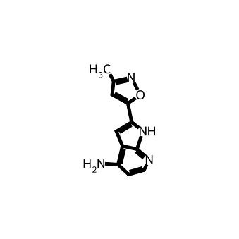 Cc1cc(-c2cc3c(N)ccnc3[nH]2)on1